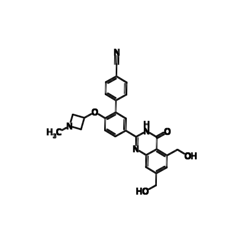 CN1CC(Oc2ccc(-c3nc4cc(CO)cc(CO)c4c(=O)[nH]3)cc2-c2ccc(C#N)cc2)C1